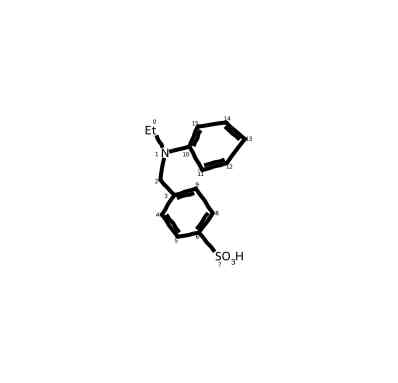 CCN(Cc1ccc(S(=O)(=O)O)cc1)c1[c]cccc1